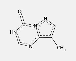 Cc1cnn2c(=O)[nH]cnc12